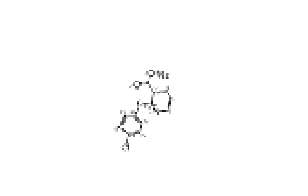 COC(=O)c1cccnc1Oc1ccc(Cl)cc1